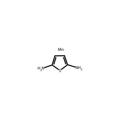 Nc1ccc(N)s1.[Mn]